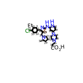 CCc1cc(-c2nc(NC3C=C(N4CCN(CCC(=O)O)CC4)C=CN3)sc2CN2CCC[C@H]2C)ccc1Cl